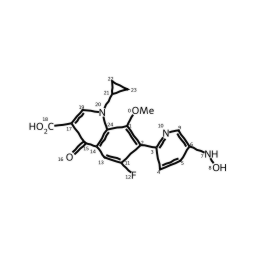 COc1c(-c2ccc(NO)cn2)c(F)cc2c(=O)c(C(=O)O)cn(C3CC3)c12